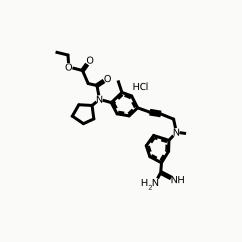 CCOC(=O)CC(=O)N(c1ccc(C#CCN(C)c2cccc(C(=N)N)c2)cc1C)C1CCCC1.Cl